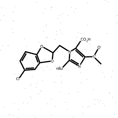 CCCCc1nc([S+](C)[O-])c(C(=O)O)n1CC1Oc2ccc(Cl)cc2O1